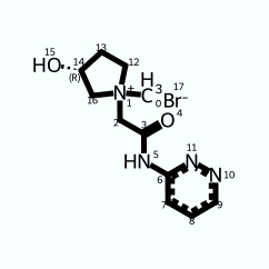 C[N+]1(CC(=O)Nc2cccnn2)CC[C@@H](O)C1.[Br-]